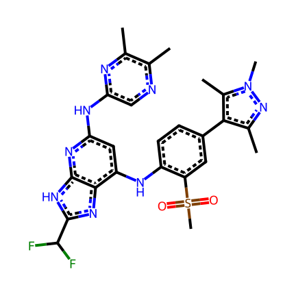 Cc1ncc(Nc2cc(Nc3ccc(-c4c(C)nn(C)c4C)cc3S(C)(=O)=O)c3nc(C(F)F)[nH]c3n2)nc1C